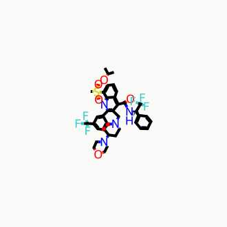 CC(C)Oc1ccc2c(C(=O)N[C@H](c3ccccc3)C(F)(F)F)c(CN3CCC(N4CCOCC4)CC3)c(-c3cccc(C(F)(F)F)c3)nc2c1S(C)(=O)=O